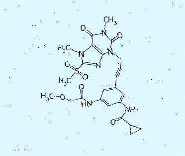 COCC(=O)Nc1cc(C#CCn2c(=O)n(C)c(=O)c3c2nc(S(C)(=O)=O)n3C)cc(NC(=O)C2CC2)c1